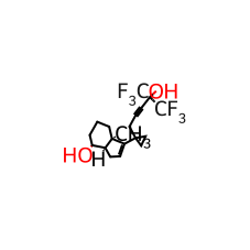 C[C@@]12CCC[C@H](O)[C@@H]1CC=C2C1(CC#CC(O)(C(F)(F)F)C(F)(F)F)CC1